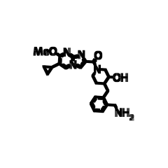 COc1nc2nc(C(=O)N3CCC(Cc4ccccc4CN)C(O)C3)cn2cc1C1CC1